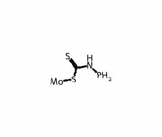 PNC(=S)[S][Mo]